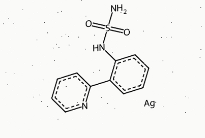 NS(=O)(=O)Nc1ccccc1-c1ccccn1.[Ag]